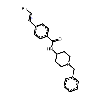 CC(C)(C)/C=C/c1ccc(C(=O)NC2CCN(Cc3ccccc3)CC2)cc1